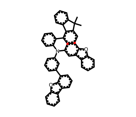 CC1(C)c2ccccc2-c2c(-c3ccccc3N(c3cccc(-c4cccc5c4oc4ccccc45)c3)c3ccc4oc5ccccc5c4c3)cccc21